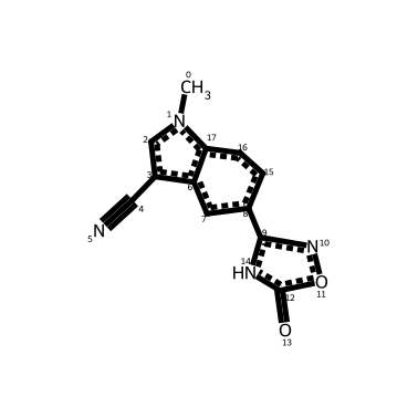 Cn1cc(C#N)c2cc(-c3noc(=O)[nH]3)ccc21